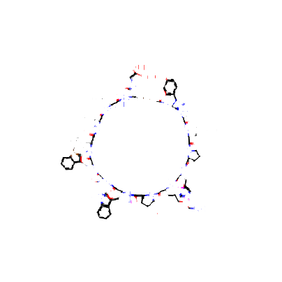 CCCC[C@H]1C(=O)N(C)[C@@H](CCCC)C(=O)N[C@@H](C)C(=O)N[C@H](C(=O)NCC(O)O)CSCC(=O)NC(Cc2ccc(O)cc2)c2nnnn2[C@@H](C)C(=O)N[C@@H](CC(=O)O)C(=O)N2CCC[C@H]2C(=O)N[C@@H](Cc2c[nH]cn2)C(=O)N[C@@H](CCCOCN)C(=O)N2C[C@H](O)C[C@H]2C(=O)N[C@@H](Cc2c[nH]c3ccccc23)C(=O)N[C@@H](CO)C(=O)N[C@@H](Cc2csc3ccccc23)C(=O)N1C